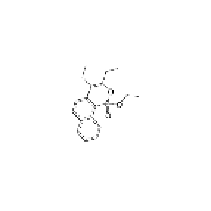 CCOP1(=O)OC(CC)=C(CC)c2ccc3ccccc3c21